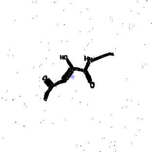 CNC(=O)/C(O)=C/C(C)=O